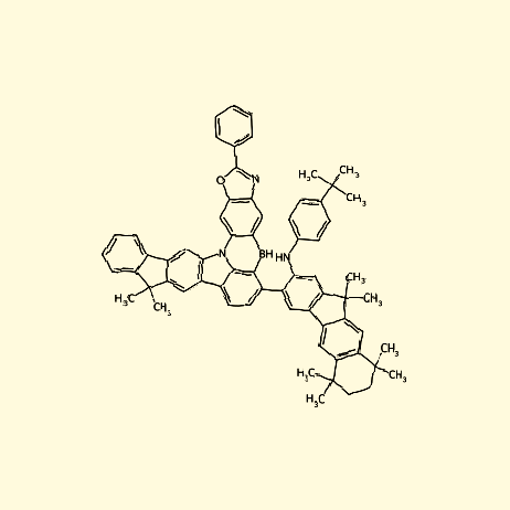 CC(C)(C)c1ccc(Nc2cc3c(cc2-c2ccc4c5cc6c(cc5n5c4c2Bc2cc4nc(-c7ccccc7)oc4cc2-5)-c2ccccc2C6(C)C)-c2cc4c(cc2C3(C)C)C(C)(C)CCC4(C)C)cc1